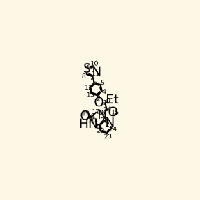 CCC(Oc1ccc(-c2cscn2)cc1)C(=O)N1CC(=O)Nc2cccnc21